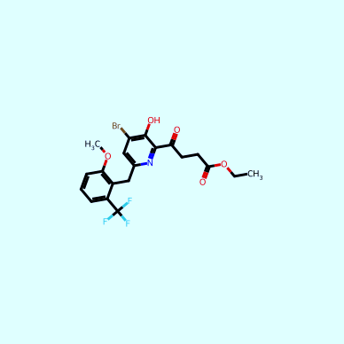 CCOC(=O)CCC(=O)c1nc(Cc2c(OC)cccc2C(F)(F)F)cc(Br)c1O